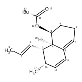 C/C=C/[C@@H]1[C@@H]2C(=CCC[C@@H]2OC(=O)[C@@H](C)CC)C=C[C@@H]1C